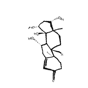 CC12CC[C@H]3C([C@@H](O)CC4=CC(=O)CC[C@@]43C)[C@]1(O)[C@H](O)C[C@@H]2O